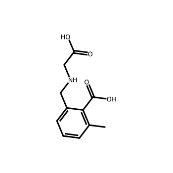 Cc1cccc(CNCC(=O)O)c1C(=O)O